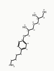 NCCCCc1ccc(OCC(O)COCC(O)CO)cc1